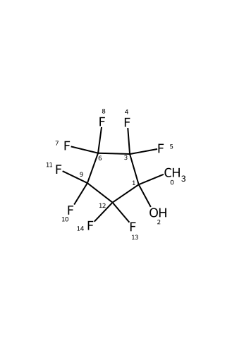 CC1(O)C(F)(F)C(F)(F)C(F)(F)C1(F)F